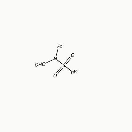 CCCS(=O)(=O)N(C=O)CC